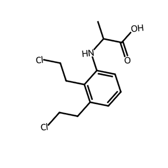 CC(Nc1cccc(CCCl)c1CCCl)C(=O)O